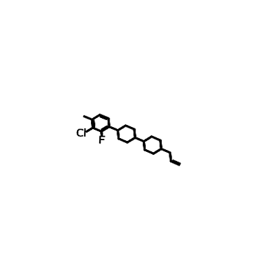 C=CCC1CCC(C2CCC(c3ccc(C)c(Cl)c3F)CC2)CC1